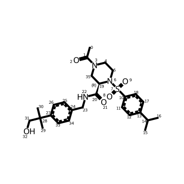 CC(=O)N1CCN(S(=O)(=O)c2ccc(C(C)C)cc2)[C@@H](C(=O)NCc2ccc(C(C)(C)CO)cc2)C1